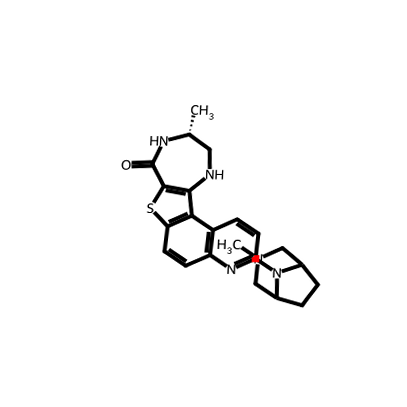 C[C@@H]1CNc2c(sc3ccc4nc(N5C6CCC5CN(C)C6)ccc4c23)C(=O)N1